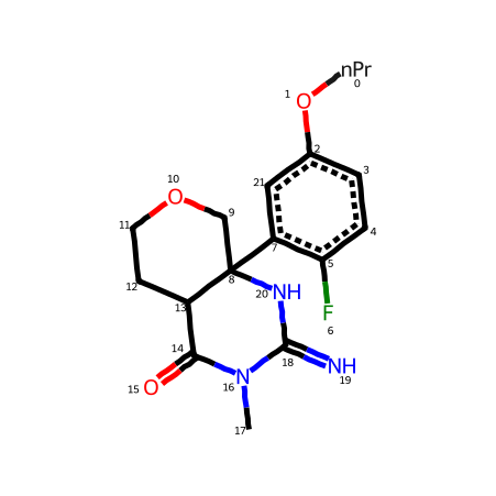 CCCOc1ccc(F)c(C23COCCC2C(=O)N(C)C(=N)N3)c1